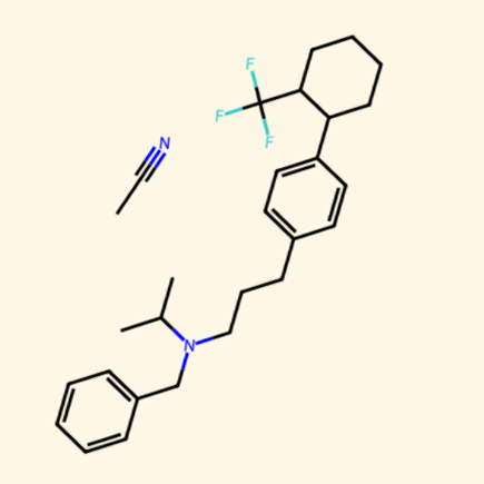 CC#N.CC(C)N(CCCc1ccc(C2CCCCC2C(F)(F)F)cc1)Cc1ccccc1